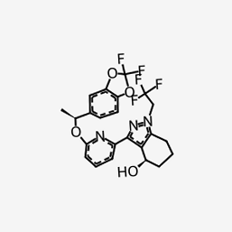 C[C@H](Oc1cccc(-c2nn(CC(F)(F)F)c3c2[C@H](O)CCC3)n1)c1ccc2c(c1)OC(F)(F)O2